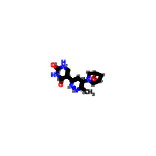 Cc1nnc(-c2c[nH]c(=O)[nH]c2=O)cc1N1CC2CC(C1)O2